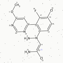 COc1cc(-c2c(N(N)/C=C(\N)Cl)ccc(Cl)c2F)ncn1